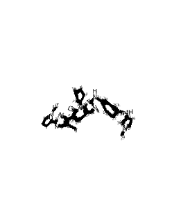 Cc1cnc(C2CCCN2C)nc1-c1cc2cnc(Nc3ccc(NC4CCN(C)C4)cc3)nc2n(C2CCCC2)c1=O